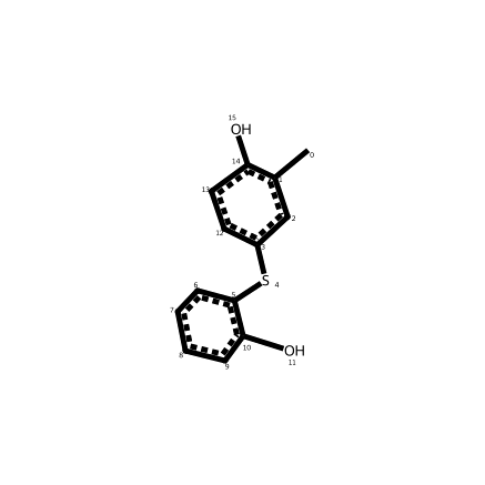 Cc1cc(Sc2ccccc2O)ccc1O